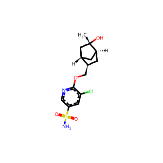 C[C@]1(O)C[C@@H]2C[C@@H]1C[C@H]2COc1ncc(S(N)(=O)=O)cc1Cl